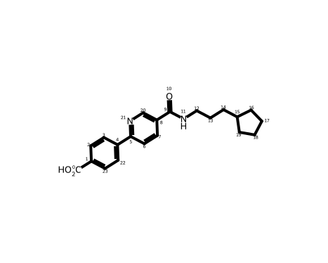 O=C(O)c1ccc(-c2ccc(C(=O)NCCCC3CCCC3)cn2)cc1